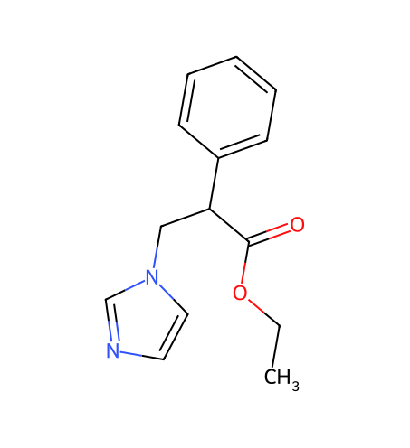 CCOC(=O)C(Cn1ccnc1)c1ccccc1